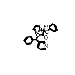 CCC(Oc1ccccc1)(C(=O)OC(c1ccccc1)c1cccnc1)n1cccn1